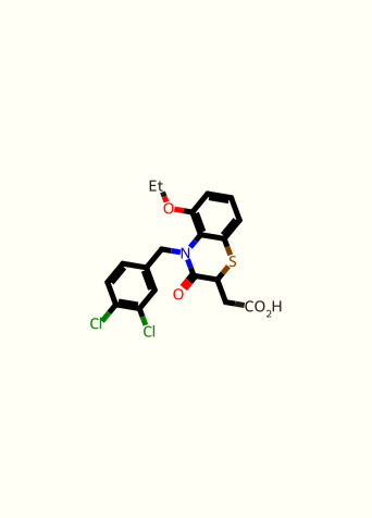 CCOc1cccc2c1N(Cc1ccc(Cl)c(Cl)c1)C(=O)C(CC(=O)O)S2